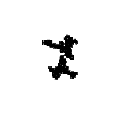 CCCC(=O)C1(C2CCCCC2)CCN(C(=O)[C@@H](Cc2ccc(Cl)cc2)NC(=O)NCCCCCc2c[nH]cn2)CC1.CCCC(=O)C1(C2CCCCC2)CCN(C(=O)[C@@H](Cc2ccc(Cl)cc2)NC(=S)NCCc2cn(C)cn2)CC1